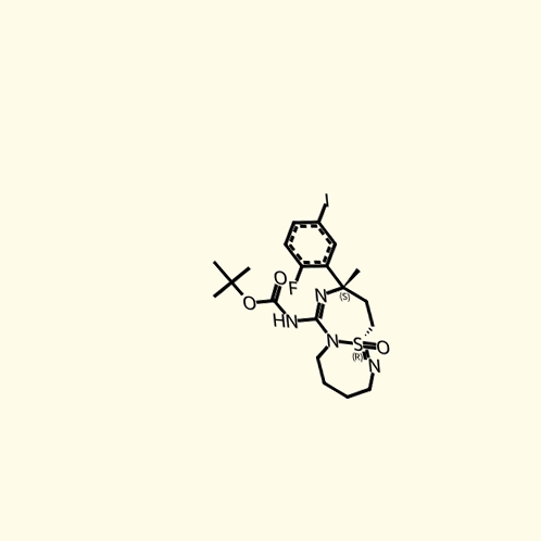 CC(C)(C)OC(=O)NC1=N[C@](C)(c2cc(I)ccc2F)CC[S@]2(=O)=NCCCCN12